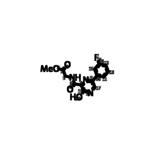 COC(=O)CNC(=O)c1nc(-c2cccc(F)c2)cnc1O